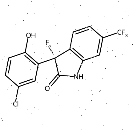 O=C1Nc2cc(C(F)(F)F)ccc2[C@]1(F)c1cc(Cl)ccc1O